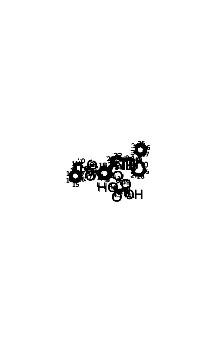 COc1ccc(S(=O)(=O)N2CCc3ccccc32)cc1-c1ccc(CN2CCCCC[C@@H]2c2ccccc2)[nH]1.O=C(O)C(=O)O